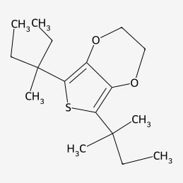 CCC(C)(C)c1sc(C(C)(CC)CC)c2c1OCCO2